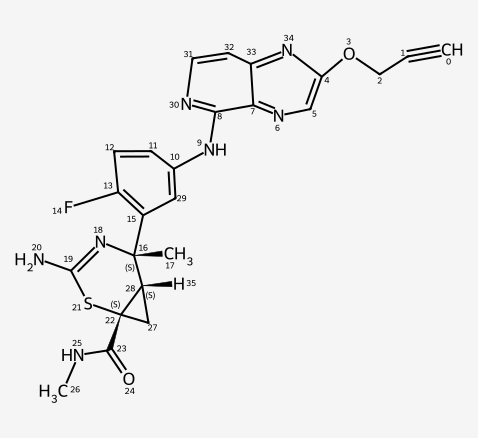 C#CCOc1cnc2c(Nc3ccc(F)c([C@@]4(C)N=C(N)S[C@@]5(C(=O)NC)C[C@H]54)c3)nccc2n1